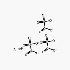 O=S([O-])S(=O)(=O)[O-].O=S([O-])S(=O)(=O)[O-].O=S([O-])S(=O)(=O)[O-].[Al+3].[Al+3]